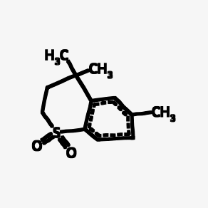 Cc1ccc2c(c1)C(C)(C)CCS2(=O)=O